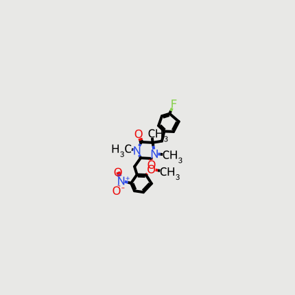 COc1cccc([N+](=O)[O-])c1CC1C(=O)N(C)C(C)(Cc2ccc(F)cc2)C(=O)N1C